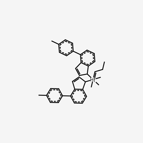 CC[CH]=[Hf]([CH3])([CH3])([CH3])([CH]1C=Cc2c(-c3ccc(C)cc3)cccc21)[CH]1C=Cc2c(-c3ccc(C)cc3)cccc21